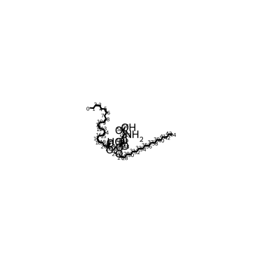 CC/C=C\C/C=C\C/C=C\C/C=C\C/C=C\C/C=C\CCC(=O)O[C@H](CO/C=C\CCCCCCCCCCCCCCCC)COP(=O)(O)OC[C@H](N)C(=O)O